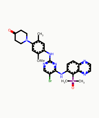 COc1cc(N2CCC(=O)CC2)c(C)cc1Nc1ncc(Br)c(Nc2ccc3nccnc3c2P(C)(C)=O)n1